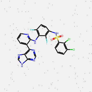 O=S(=O)(Nc1ccc(F)c(Nc2ncccc2-c2ncnc3[nH]cnc23)c1F)c1cccc(Cl)c1Cl